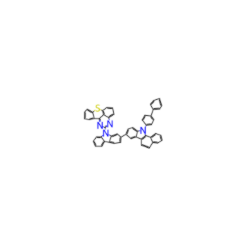 c1ccc(-c2ccc(-n3c4ccc(-c5ccc6c7ccccc7n(-c7nc8c9c(cccc9n7)Sc7ccccc7-8)c6c5)cc4c4ccc5ccccc5c43)cc2)cc1